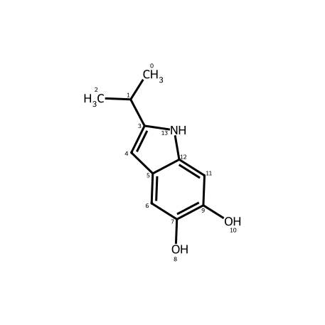 CC(C)c1cc2cc(O)c(O)cc2[nH]1